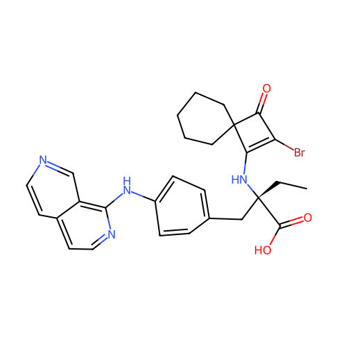 CC[C@@](Cc1ccc(Nc2nccc3ccncc23)cc1)(NC1=C(Br)C(=O)C12CCCCC2)C(=O)O